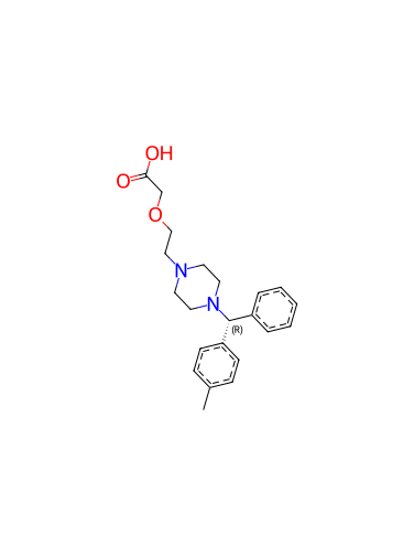 Cc1ccc([C@@H](c2ccccc2)N2CCN(CCOCC(=O)O)CC2)cc1